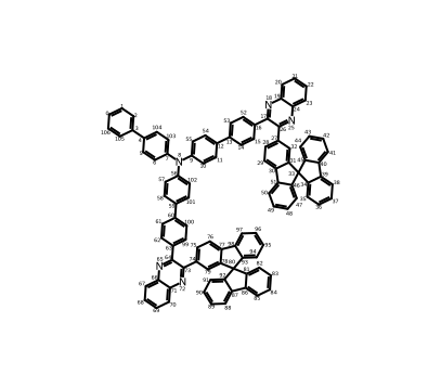 c1ccc(-c2ccc(N(c3ccc(-c4ccc(-c5nc6ccccc6nc5-c5ccc6c(c5)C5(c7ccccc7-c7ccccc75)c5ccccc5-6)cc4)cc3)c3ccc(-c4ccc(-c5nc6ccccc6nc5-c5ccc6c(c5)C5(c7ccccc7-c7ccccc75)c5ccccc5-6)cc4)cc3)cc2)cc1